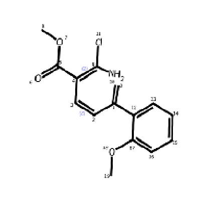 C=C(/C=C\C(C(=O)OC)=C(/N)Cl)c1ccccc1OC